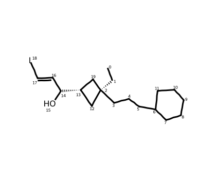 CC[C@]1(CCCC2CCCCC2)C[C@H](C(O)C=CI)C1